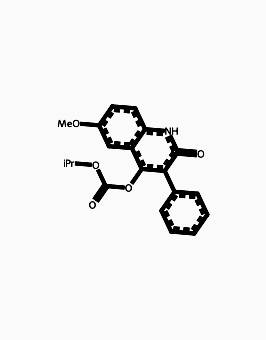 COc1ccc2[nH]c(=O)c(-c3ccccc3)c(OC(=O)OC(C)C)c2c1